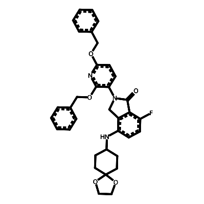 O=C1c2c(F)ccc(NC3CCC4(CC3)OCCO4)c2CN1c1ccc(OCc2ccccc2)nc1OCc1ccccc1